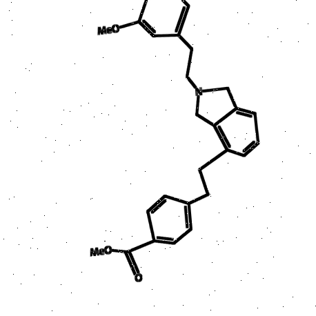 COC(=O)c1ccc(CCc2cccc3c2CN(CCc2cccc(OC)c2)C3)cc1